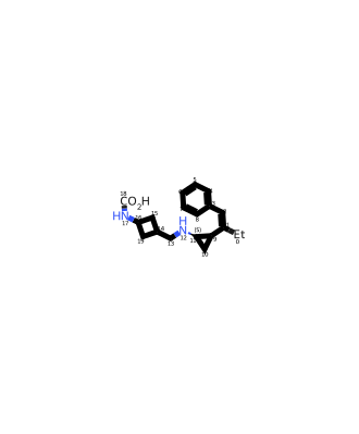 CCC(=Cc1ccccc1)C1C[C@@H]1NCC1CC(NC(=O)O)C1